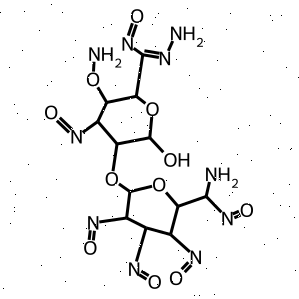 NN=C(N=O)C1OC(O)C(OC2OC(C(N)N=O)C(N=O)C(N=O)C2N=O)C(N=O)C1ON